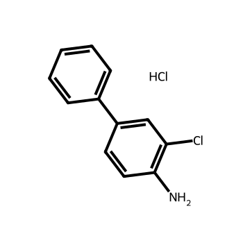 Cl.Nc1ccc(-c2ccccc2)cc1Cl